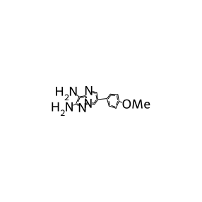 COc1ccc(-c2cnc3c(N)c(N)nn3c2)cc1